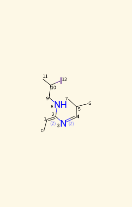 C/C=C(\N=C/C(C)C)NCC(C)I